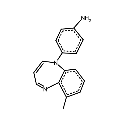 Cc1cccc2c1N=CC=CN2c1ccc(N)cc1